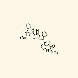 CC(C)(C)c1cc(NC(=O)Nc2ccc(Oc3ccnc4nc(N)c(=O)[nH]c34)c3ccccc23)n(-c2ccccc2)n1